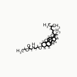 CCOC(=O)CNCCO[C@H]1CC[C@@]2(C)C(=CC[C@@H]3C2CC[C@]2(C)C([C@H](C)CCCC(C)C)CC[C@@H]32)C1